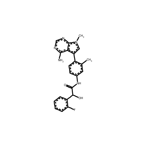 Cc1cc(NC(=O)C(O)c2ccccc2F)ccc1-c1cn(C)c2ncnc(N)c12